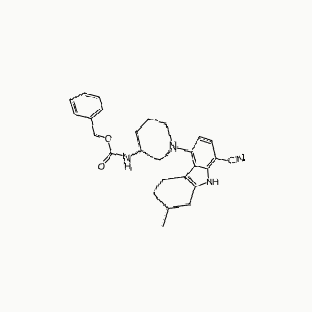 CC1CCc2c([nH]c3c(C#N)ccc(N4CCCC(NC(=O)OCc5ccccc5)C4)c23)C1